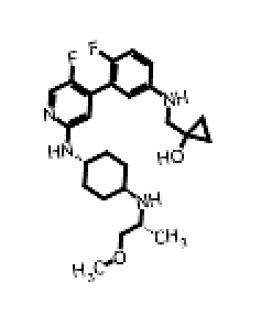 COC[C@@H](C)N[C@H]1CC[C@H](Nc2cc(-c3cc(NCC4(O)CC4)ccc3F)c(F)cn2)CC1